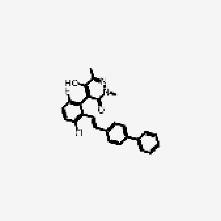 Cc1nn(C)c(=O)c(-c2c(F)ccc(Cl)c2/C=C/c2ccc(-c3ccccc3)cc2)c1O